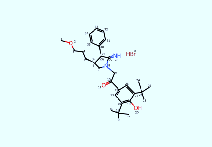 Br.COCCC[C@@H]1CN(CC(=O)c2cc(C(C)(C)C)c(O)c(C(C)(C)C)c2)C(=N)[C@@H]1c1ccccc1